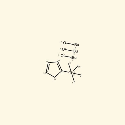 CCC(C)[O-].CCC(C)[O-].CCC(C)[O-].[CH3][Ti+3]([CH3])([CH3])([CH3])[C]1=CC=CC1